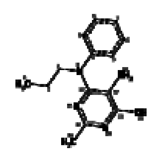 CCCN(c1ccccc1)c1nc(C)nc(O)c1N